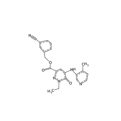 CCn1nc(C(=O)OCc2cccc(C#N)c2)cc(Nc2cnccc2C)c1=O